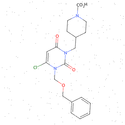 O=C(O)N1CCC(Cn2c(=O)cc(Cl)n(COCc3ccccc3)c2=O)CC1